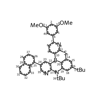 COc1cc(OC)cc(-c2ccc3c(n2)Sc2cc(C(C)(C)C)cc4c2B3c2cc(-c3cccc5ccccc35)cnc2N4C(C)(C)C)c1